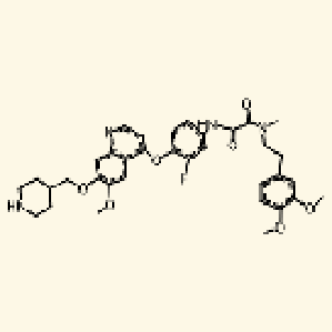 COc1ccc(CCN(C)C(=O)C(=O)Nc2ccc(Oc3ccnc4cc(OCC5CCNCC5)c(OC)cc34)c(F)c2)cc1OC